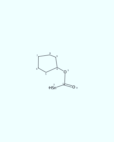 O=[C]([SnH])OC1CCCCC1